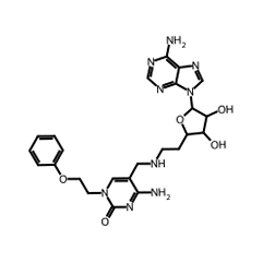 Nc1nc(=O)n(CCOc2ccccc2)cc1CNCCC1OC(n2cnc3c(N)ncnc32)C(O)C1O